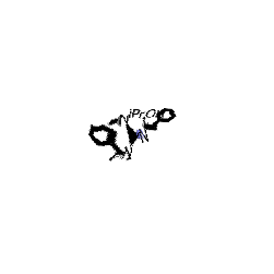 CC(C)N(C)c1c(N(C)[C@@H](C)c2ccccc2)/c1=N/[C@H](CO)Cc1ccccc1